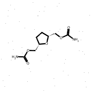 NC(=O)OC[C@H]1CC[C@@H](COC(N)=O)O1